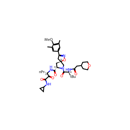 CCC[C@H](NC(=O)[C@@H]1C[C@]2(CC(c3cc(C)c(OC)c(C)c3)=NO2)CN1C(=O)[C@@H](NC(=O)CC1CCOCC1)C(C)(C)C)C(=O)C(=O)NC1CC1